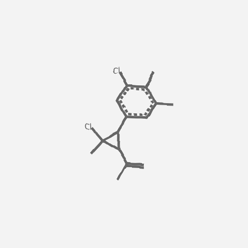 C=C(C)C1C(c2cc(C)c(C)c(Cl)c2)C1(C)Cl